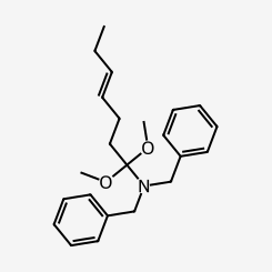 CCC=CCCC(OC)(OC)N(Cc1ccccc1)Cc1ccccc1